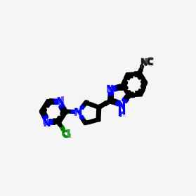 [C-]#[N+]c1ccc2[nH]c(C3CCN(c4nccnc4Cl)C3)nc2c1